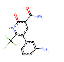 NC(=O)c1cc(-c2cccc(N)c2)c(C(F)(F)F)[nH]c1=O